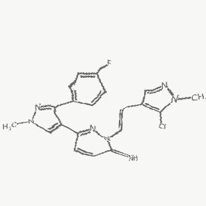 Cn1cc(-c2ccc(=N)n(/C=C/c3cnn(C)c3Cl)n2)c(-c2ccc(F)cc2)n1